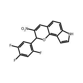 O=[N+]([O-])C1=Cc2ccc3[nH]ccc3c2OC1c1cc(F)c(F)cc1F